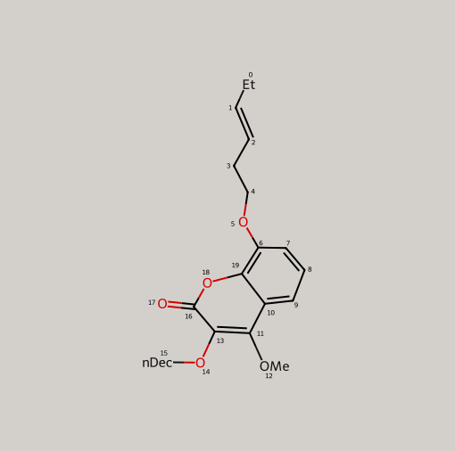 CCC=CCCOc1cccc2c(OC)c(OCCCCCCCCCC)c(=O)oc12